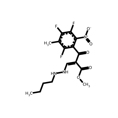 CCCCNNC=C(C(=O)OC)C(=O)c1c(F)c(C)c(F)c(F)c1[N+](=O)[O-]